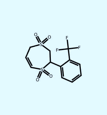 O=S1(=O)CC=CS(=O)(=O)C(c2ccccc2C(F)(F)F)C1